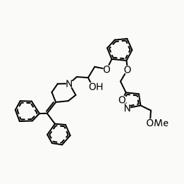 COCc1cc(COc2ccccc2OCC(O)CN2CCC(=C(c3ccccc3)c3ccccc3)CC2)on1